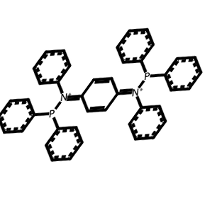 C1=CC(=[N+](c2ccccc2)P(c2ccccc2)c2ccccc2)C=CC1=[N+](c1ccccc1)P(c1ccccc1)c1ccccc1